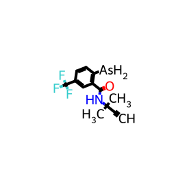 C#CC(C)(C)NC(=O)c1cc(C(F)(F)F)ccc1[AsH2]